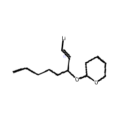 [Li]/[CH]=C/C(CCCCC)OC1CCCCO1